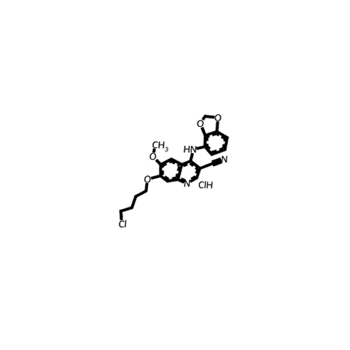 COc1cc2c(Nc3cccc4c3OCO4)c(C#N)cnc2cc1OCCCCCl.Cl